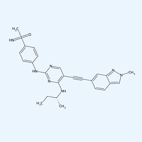 CC[C@@H](C)Nc1nc(Nc2ccc(S(C)(=N)=O)cc2)ncc1C#Cc1ccc2cn(C)nc2c1